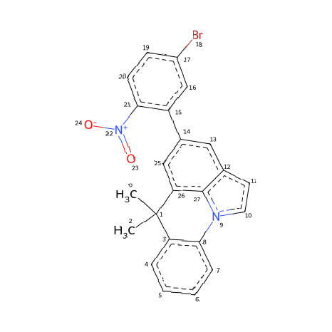 CC1(C)c2ccccc2-n2ccc3cc(-c4cc(Br)ccc4[N+](=O)[O-])cc1c32